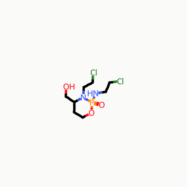 O=P1(NCCCl)OCCC(CO)N1CCCl